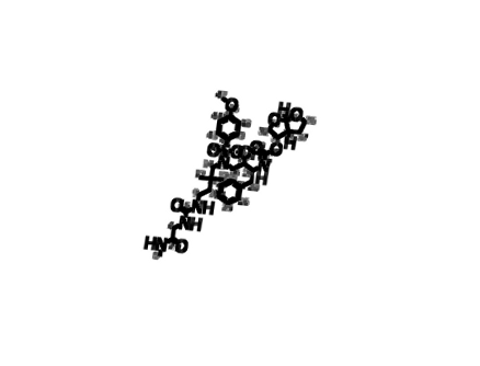 CNC(=O)CNC(=O)NCCC(C)(C)CN(C[C@@H](O)[C@H](Cc1ccccc1)NC(=O)O[C@@H]1CO[C@@H]2OCC[C@@H]21)S(=O)(=O)c1ccc(OC)cc1